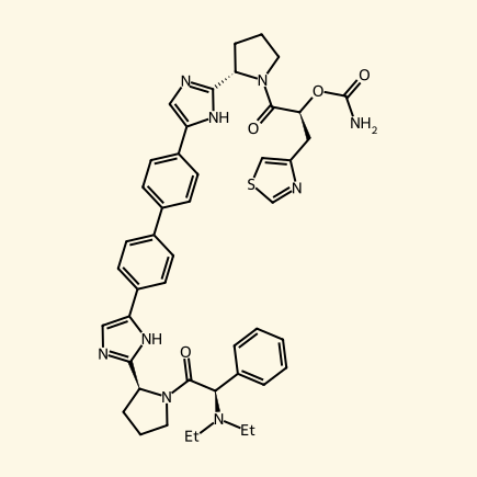 CCN(CC)[C@@H](C(=O)N1CCC[C@H]1c1ncc(-c2ccc(-c3ccc(-c4cnc([C@@H]5CCCN5C(=O)[C@H](Cc5cscn5)OC(N)=O)[nH]4)cc3)cc2)[nH]1)c1ccccc1